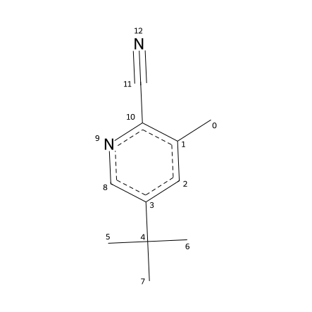 Cc1cc(C(C)(C)C)cnc1C#N